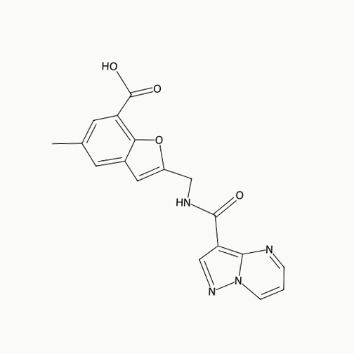 Cc1cc(C(=O)O)c2oc(CNC(=O)c3cnn4cccnc34)cc2c1